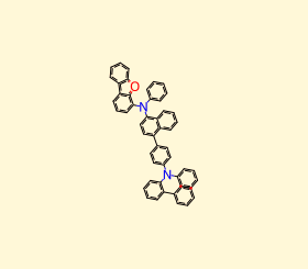 c1ccc(-c2ccccc2N(c2ccccc2)c2ccc(-c3ccc(N(c4ccccc4)c4cccc5c4oc4ccccc45)c4ccccc34)cc2)cc1